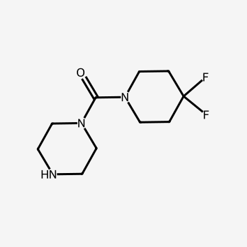 O=C(N1CCNCC1)N1CCC(F)(F)CC1